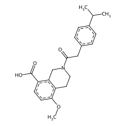 COc1ccc(C(=O)O)c2c1CCN(C(=O)Cc1ccc(C(C)C)cc1)C2